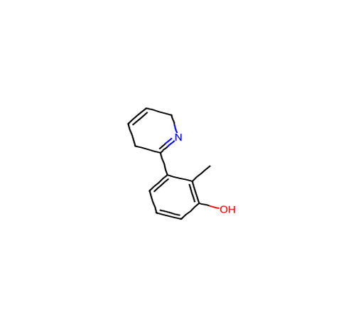 Cc1c(O)cccc1C1=NCC=CC1